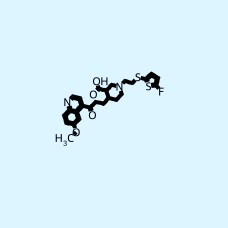 COc1ccc2nccc(C(=O)CCC3CCN(CCSc4ccc(F)s4)CC3C(=O)O)c2c1